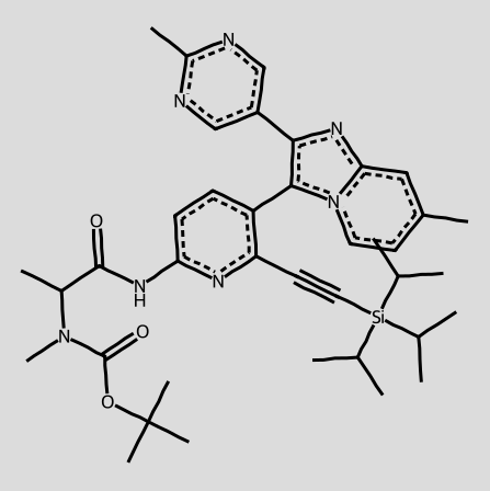 Cc1ccn2c(-c3ccc(NC(=O)C(C)N(C)C(=O)OC(C)(C)C)nc3C#C[Si](C(C)C)(C(C)C)C(C)C)c(-c3cnc(C)nc3)nc2c1